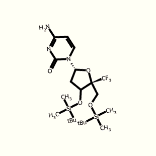 CC(C)(C)[Si](C)(C)OC[C@@]1(C(F)(F)F)O[C@@H](n2ccc(N)nc2=O)CC1O[Si](C)(C)C(C)(C)C